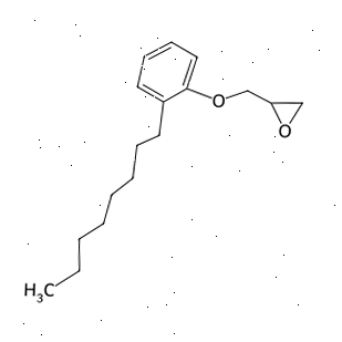 CCCCCCCCc1ccccc1OCC1CO1